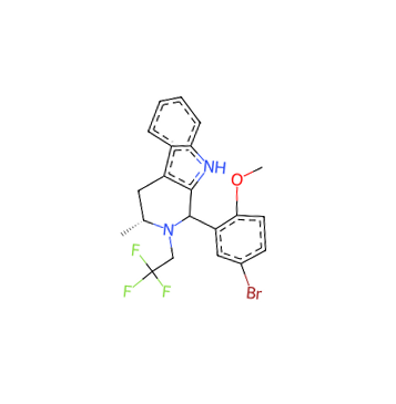 COc1ccc(Br)cc1C1c2[nH]c3ccccc3c2C[C@@H](C)N1CC(F)(F)F